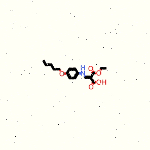 CCCCCOc1ccc(NC=C(C(=O)O)C(=O)OCC)cc1